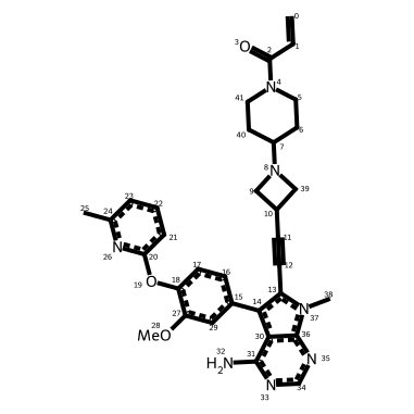 C=CC(=O)N1CCC(N2CC(C#Cc3c(-c4ccc(Oc5cccc(C)n5)c(OC)c4)c4c(N)ncnc4n3C)C2)CC1